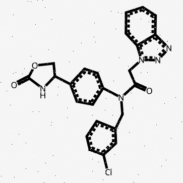 O=C1NC(c2ccc(N(Cc3cccc(Cl)c3)C(=O)Cn3nnc4ccccc43)cc2)CO1